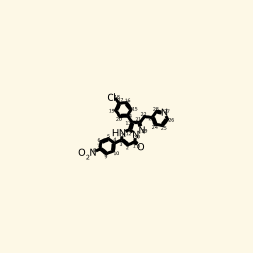 O=c1cc(-c2ccc([N+](=O)[O-])cc2)[nH]c2c(-c3ccc(Cl)cc3)c(Cc3cccnc3)nn12